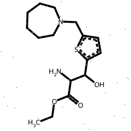 CCOC(=O)C(N)C(O)c1ccc(CN2CCCCCC2)s1